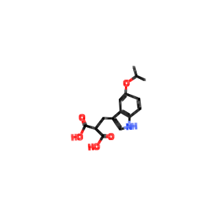 CC(C)Oc1ccc2[nH]cc(CC(C(=O)O)C(=O)O)c2c1